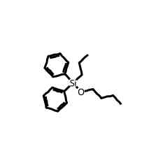 CCCCO[Si](CCC)(c1ccccc1)c1ccccc1